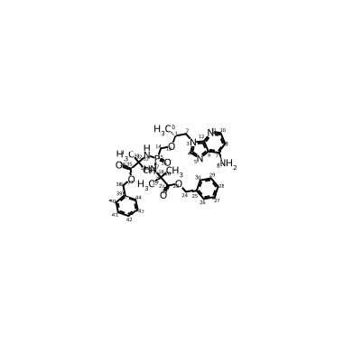 C[C@H](Cn1cnc2c(N)ccnc21)OCP(=O)(NC(C)(C)C(=O)OCc1ccccc1)NC(C)(C)C(=O)OCc1ccccc1